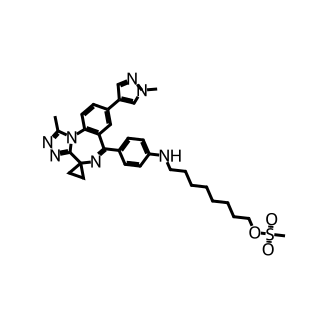 Cc1nnc2n1-c1ccc(-c3cnn(C)c3)cc1C(c1ccc(NCCCCCCCCOS(C)(=O)=O)cc1)=NC21CC1